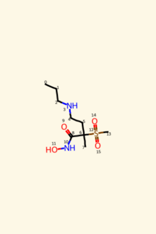 CCCNCCC(C)(C(=O)NO)S(C)(=O)=O